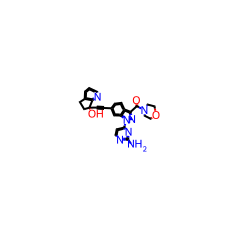 Nc1nccc(-n2nc(C(=O)N3CCOCC3)c3ccc(C#CC4(O)CCc5cccnc54)cc32)n1